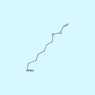 C=COOCCCCCCCCCCCC